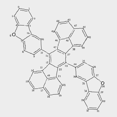 c1ccc2c(c1)oc1ccc(-c3c4c5cccc6cccc(c4c(-c4ccc7oc8ccccc8c7c4)c4c7cccc8cccc(c34)c87)c65)cc12